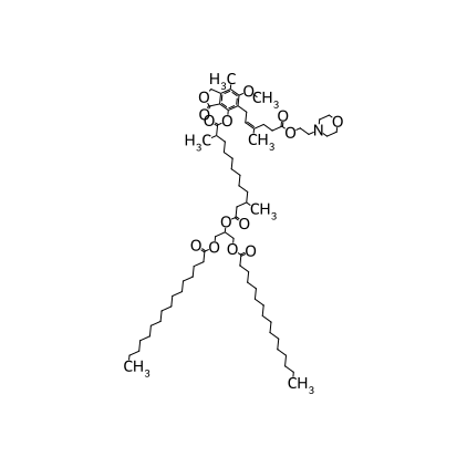 CCCCCCCCCCCCCCCC(=O)OCC(COC(=O)CCCCCCCCCCCCCCC)OC(=O)CC(C)CCCCCCCC(C)C(=O)Oc1c(CC=C(C)CCC(=O)OCCN2CCOCC2)c(OC)c(C)c2c1C(=O)OC2